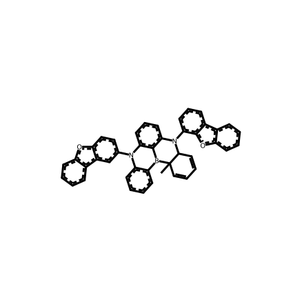 CC12C=CC=CC1N(c1cccc3c1oc1ccccc13)c1cccc3c1B2c1ccccc1N3c1ccc2oc3ccccc3c2c1